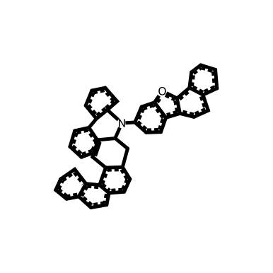 C1=CC(N(c2ccc3c(c2)oc2c4ccccc4ccc32)c2ccccc2-c2ccccc2)Cc2ccc3ccc4ccccc4c3c21